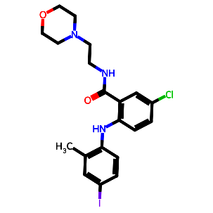 Cc1cc(I)ccc1Nc1ccc(Cl)cc1C(=O)NCCN1CCOCC1